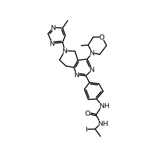 Cc1cc(N2CCc3nc(-c4ccc(NC(=O)NC(C)I)cc4)nc(N4CCOCC4C)c3C2)ncn1